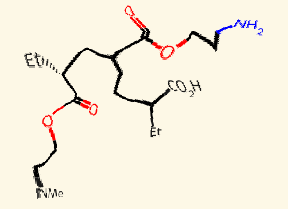 CCC(CC(C[C@@H](CC)C(=O)OCCNC)C(=O)OCCN)C(=O)O